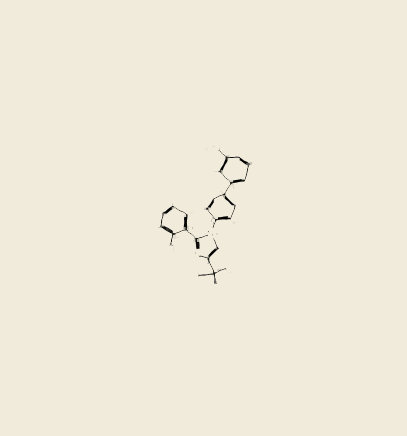 CC(C)c1cccc(-c2ccc(-n3cc(C(C)(C)O)nc3-c3ccccc3Cl)cc2)c1